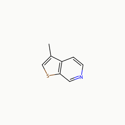 Cc1csc2cnccc12